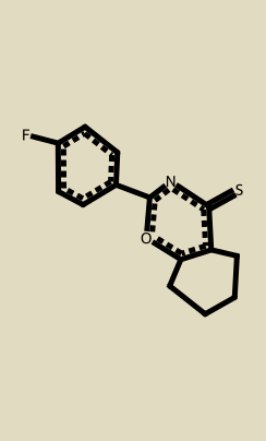 Fc1ccc(-c2nc(=S)c3c(o2)CCCC3)cc1